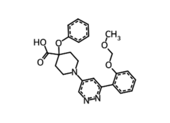 COCOc1ccccc1-c1cc(N2CCC(Oc3ccccc3)(C(=O)O)CC2)cnn1